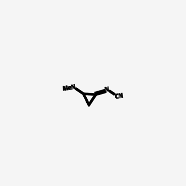 [CH2]NC1CC1=NC#N